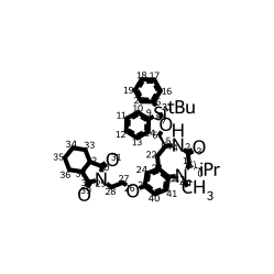 CC(C)[C@H]1C(=O)N[C@H](CO[Si](c2ccccc2)(c2ccccc2)C(C)(C)C)Cc2cc(OCCN3C(=O)C4CCCCC4C3=O)ccc2N1C